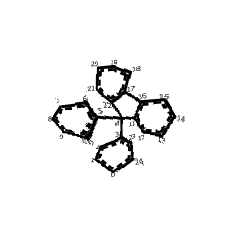 [c]1ccc(C2(c3ccccc3)c3ccccc3-c3ccccc32)cc1